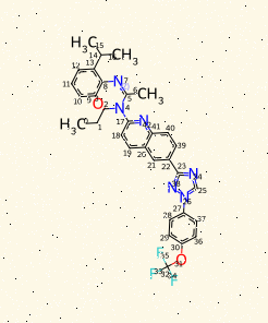 CCC(=O)N(/C(C)=N\c1ccccc1C(C)C)c1ccc2cc(-c3ncn(-c4ccc(OC(F)(F)F)cc4)n3)ccc2n1